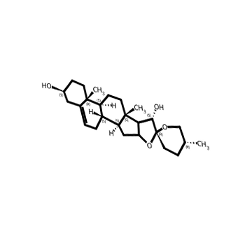 C[C@@H]1CC[C@@]2(OC1)OC1C[C@H]3[C@@H]4CC=C5C[C@@H](O)CC[C@]5(C)[C@H]4CC[C@]3(C)C1[C@@H]2O